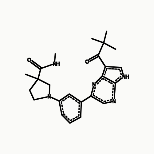 CNC(=O)C1(C)CCN(c2cccc(-c3cnc4[nH]cc(C(=O)C(C)(C)C)c4n3)c2)C1